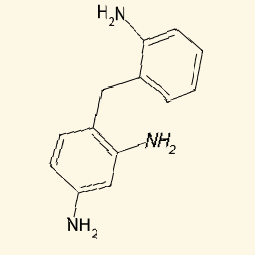 Nc1ccc(Cc2ccccc2N)c(N)c1